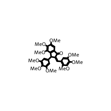 COc1cc(OC)c(OC)cc1C=C1C(=O)c2cc(OC)c(OC)c(OC)c2C1c1cc(OC)c(OC)c(OC)c1